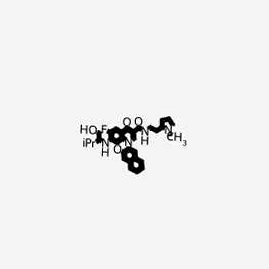 CC(C)C(CO)Nc1c(F)cc2c(=O)c(C(=O)NCCC3CCCN3C)cn3c2c1Oc1cc2ccccc2cc1-3